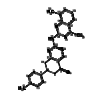 Cc1ccc(C2CC(=O)c3cnc(Nc4nc(C)c5cccc(C)c5n4)nc3C2)cc1